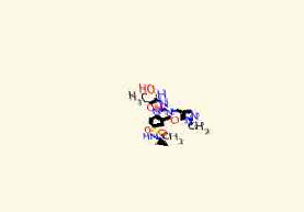 C[C@H](O)[C@H](CO)Nc1nc2ccc(S(=O)(=O)NC3(C)CC3)cc2c(=O)n1Cc1cnn(C)c1